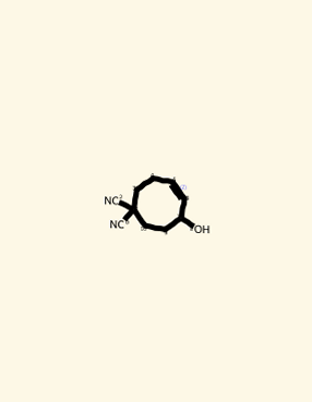 N#CC1(C#N)CC/C=C\C(O)CC1